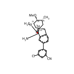 [2H]C1([2H])OC(N)=NC12c1cc(-c3cc(Cl)cc(C#N)c3)ccc1C[C@@]21C[C@@H](C)[C@H](OC)[C@@H](C)C1